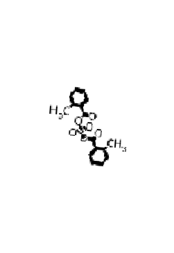 Cc1ccccc1C(=O)OS(=O)(=O)OC(=O)c1ccccc1C